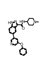 CN1CCC(NC(=O)c2n[nH]c3ccc(-c4cncc(Oc5ccccc5)c4)cc23)CC1